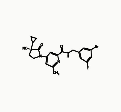 Cc1cc(N2CC[C@@](C#N)(C3CC3)C2=O)cc(C(=O)NCc2cc(F)cc(Br)c2)n1